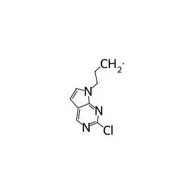 [CH2]CCn1ccc2cnc(Cl)nc21